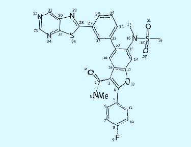 CNC(=O)c1c(-c2ccc(F)cc2)oc2cc(N(C)S(C)(=O)=O)c(-c3cccc(-c4nc5cncnc5s4)c3)cc12